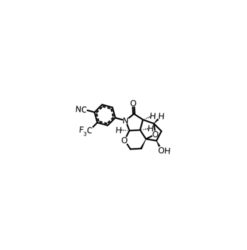 N#Cc1ccc(N2C(=O)[C@@H]3[C@@H]4[C@H]2OCC[C@]42O[C@H]3C[C@H]2O)cc1C(F)(F)F